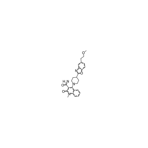 COCCc1ccc2oc(C3CCN(c4c(C(N)=O)c(=O)n(C)c5ccccc45)CC3)nc2c1